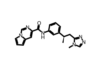 C[C@H](Cc1nncn1C)c1cccc(NC(=O)c2cc3cccn3cn2)c1